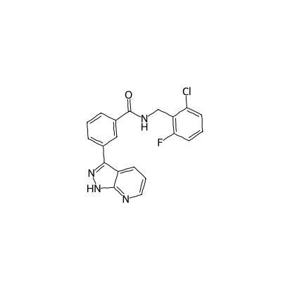 O=C(NCc1c(F)cccc1Cl)c1cccc(-c2n[nH]c3ncccc23)c1